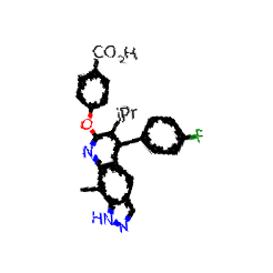 Cc1c2nc(Oc3ccc(C(=O)O)cc3)c(C(C)C)c(-c3ccc(F)cc3)c2cc2cn[nH]c12